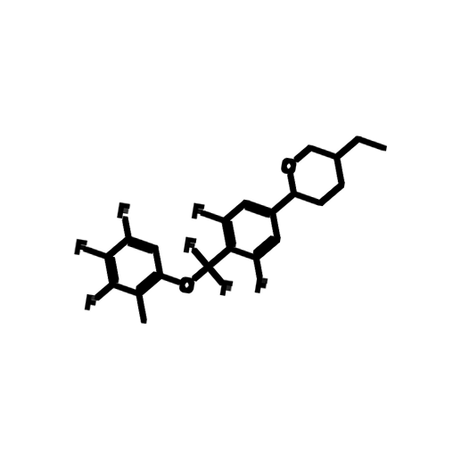 CCC1CCC(c2cc(F)c(C(F)(F)Oc3cc(F)c(F)c(F)c3C)c(F)c2)OC1